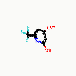 Oc1cc(O)nc(C(F)(F)F)c1